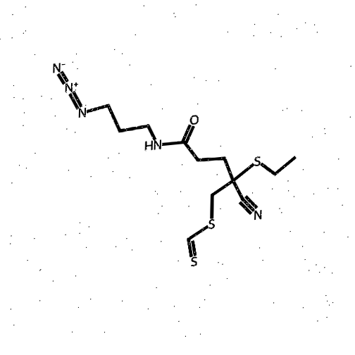 CCSC(C#N)(CCC(=O)NCCCN=[N+]=[N-])CSC=S